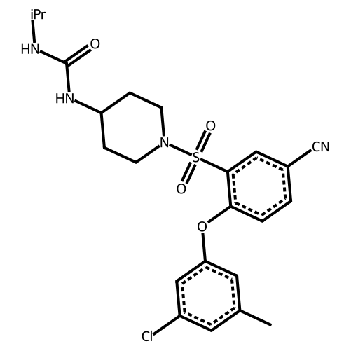 Cc1cc(Cl)cc(Oc2ccc(C#N)cc2S(=O)(=O)N2CCC(NC(=O)NC(C)C)CC2)c1